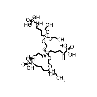 CCO[SiH](CCCNP(=O)(O)O)OCO[Si](CCCNP(=O)(O)O)(OCC)OCO[Si](CCCNP(=O)(O)O)(OCC)OCO